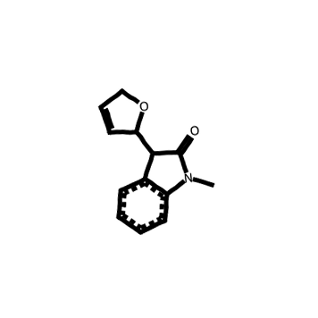 CN1C(=O)C(C2C=CCO2)c2ccccc21